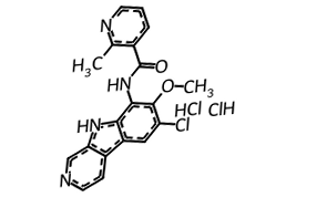 COc1c(Cl)cc2c([nH]c3cnccc32)c1NC(=O)c1cccnc1C.Cl.Cl